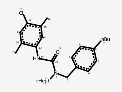 CCCCCCCN(Cc1ccc(CCCC)cc1)C(=O)Nc1cc(C)c(Cl)cc1C